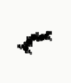 CC1C=C(C(=O)Nc2ccc(Nc3ccc(NC(=O)c4ccc(N(C)CCO)cc4)cc3)cc2)N(C)C1